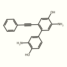 Nc1cc(-c2cc(N)c(O)cc2C#Cc2ccccc2)ccc1O